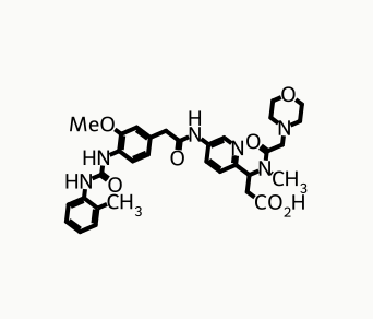 COc1cc(CC(=O)Nc2ccc(C(CC(=O)O)N(C)C(=O)CN3CCOCC3)nc2)ccc1NC(=O)Nc1ccccc1C